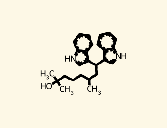 CC(CCCC(C)(C)O)CC(c1c[nH]c2ccccc12)c1c[nH]c2ccccc12